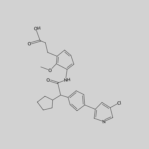 COc1c(CCC(=O)O)cccc1NC(=O)C(c1ccc(-c2cncc(Cl)c2)cc1)C1CCCC1